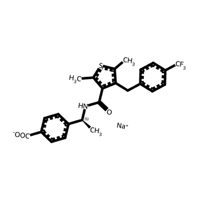 Cc1sc(C)c(C(=O)N[C@@H](C)c2ccc(C(=O)[O-])cc2)c1Cc1ccc(C(F)(F)F)cc1.[Na+]